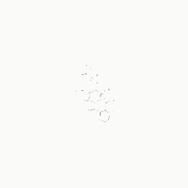 CC(=O)OCC(=O)C1(O)Cc2c(O)c3c(c(O)c2C(O)C1)C(=O)c1ccccc1C3=O